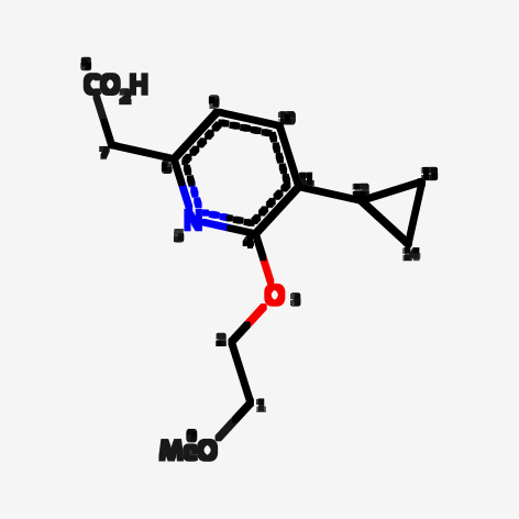 COCCOc1nc(CC(=O)O)ccc1C1CC1